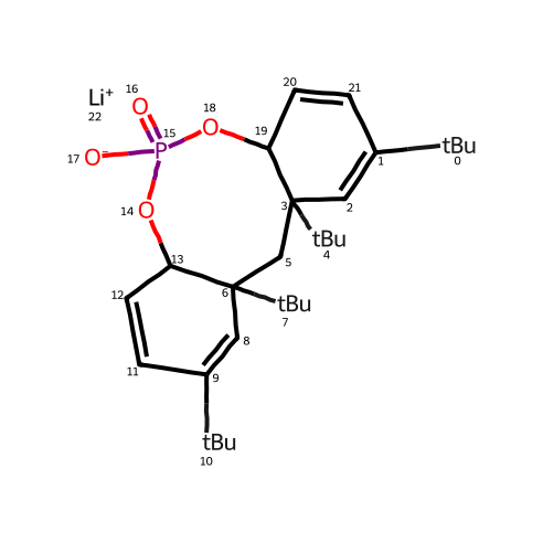 CC(C)(C)C1=CC2(C(C)(C)C)CC3(C(C)(C)C)C=C(C(C)(C)C)C=CC3OP(=O)([O-])OC2C=C1.[Li+]